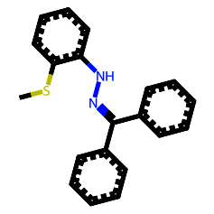 CSc1ccccc1NN=C(c1ccccc1)c1ccccc1